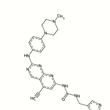 C#Cc1cc(NC(=O)NCc2cnco2)nc2nc(Nc3ccc(N4CCN(C)CC4)cc3)ncc12